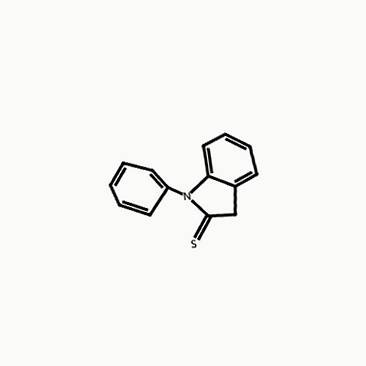 S=C1Cc2ccccc2N1c1ccccc1